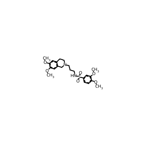 COc1ccc(S(=O)(=O)NCCCN2CCc3cc(OC)c(OC)cc3C2)cc1OC